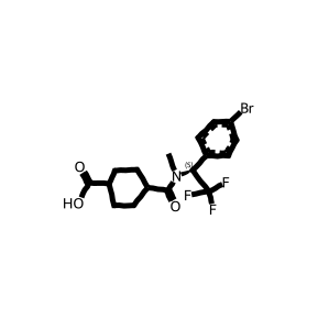 CN(C(=O)C1CCC(C(=O)O)CC1)[C@@H](c1ccc(Br)cc1)C(F)(F)F